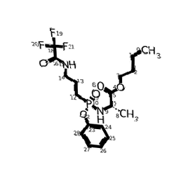 CCCCOC(=O)[C@H](C)NP(=O)(CCCNC(=O)C(F)(F)F)Oc1ccccc1